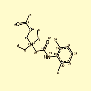 CC[N+](CC)(COC(C)=O)CC(=O)Nc1c(C)cccc1C